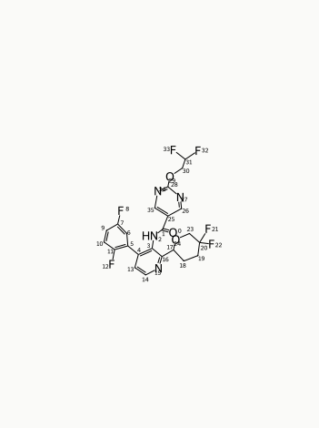 O=C(Nc1c(-c2cc(F)ccc2F)ccnc1C1CCC(F)(F)CO1)c1cnc(OCC(F)F)nc1